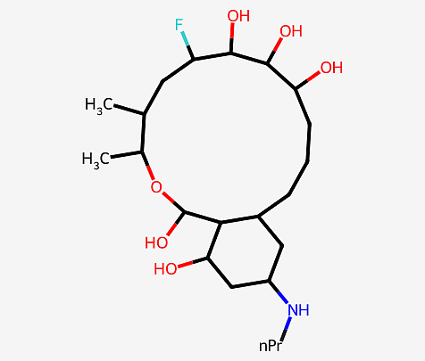 CCCNC1CC(O)C2C(CCCC(O)C(O)C(O)C(F)CC(C)C(C)OC2O)C1